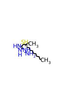 CCCCCCCCCC[C@@H](CC)C(S)C1NCNC1NCN